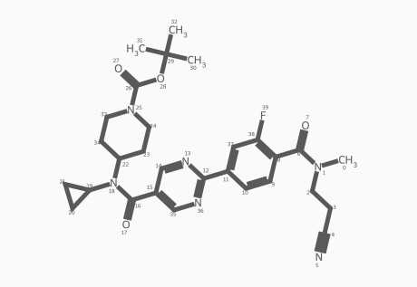 CN(CCC#N)C(=O)c1ccc(-c2ncc(C(=O)N(C3CC3)C3CCN(C(=O)OC(C)(C)C)CC3)cn2)cc1F